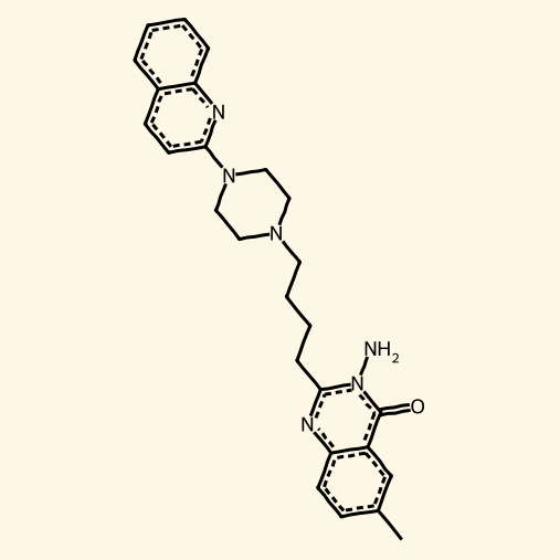 Cc1ccc2nc(CCCCN3CCN(c4ccc5ccccc5n4)CC3)n(N)c(=O)c2c1